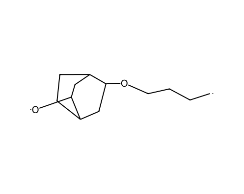 [CH2]CCCOC1CC2CCC1CC2[O]